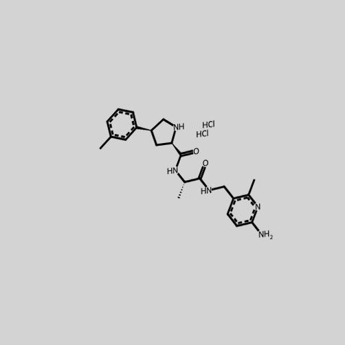 Cc1cccc([C@H]2CN[C@@H](C(=O)N[C@@H](C)C(=O)NCc3ccc(N)nc3C)C2)c1.Cl.Cl